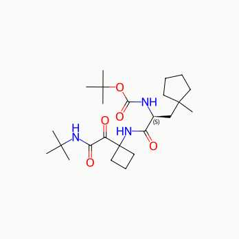 CC1(C[C@H](NC(=O)OC(C)(C)C)C(=O)NC2(C(=O)C(=O)NC(C)(C)C)CCC2)CCCC1